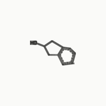 OC1Cc2c[c]ccc2C1